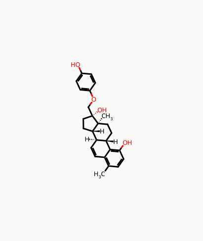 Cc1ccc(O)c2c1C=C[C@@H]1[C@@H]2CC[C@@]2(C)[C@H]1CC[C@@]2(O)COc1ccc(O)cc1